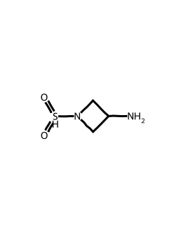 NC1CN([SH](=O)=O)C1